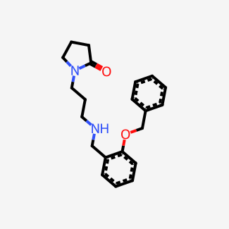 O=C1CCCN1CCCNCc1ccccc1OCc1ccccc1